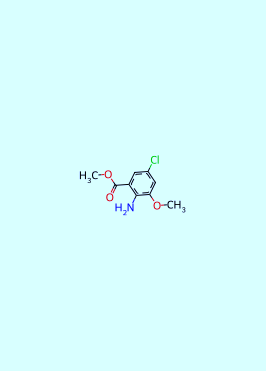 COC(=O)c1cc(Cl)cc(OC)c1N